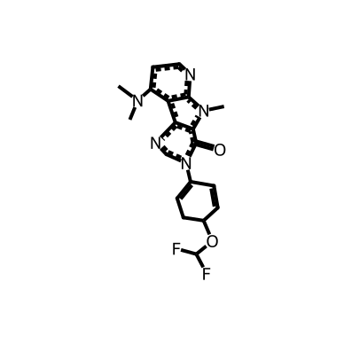 CN(C)c1ccnc2c1c1ncn(C3=CCC(OC(F)F)C=C3)c(=O)c1n2C